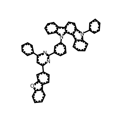 c1ccc(-c2cc(-c3ccc4c(c3)oc3ccccc34)nc(-c3cccc(-n4c5ccccc5c5ccc6c(c7ccccc7n6-c6ccccc6)c54)c3)n2)cc1